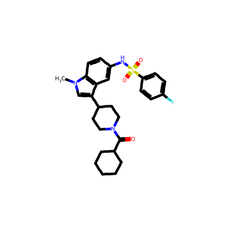 Cn1cc(C2CCN(C(=O)C3CCCCC3)CC2)c2cc(NS(=O)(=O)c3ccc(F)cc3)ccc21